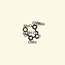 COc1cc(C(=O)N[C@@H]2CCCC[C@@H]2N)cc(-c2ccnc3cc(-c4cc(OC)c(OC)c(OC)c4)oc23)c1